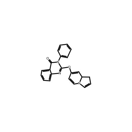 O=c1c2ccccc2nc(OC2=CC3CC=CN3C=C2)n1-c1ccccc1